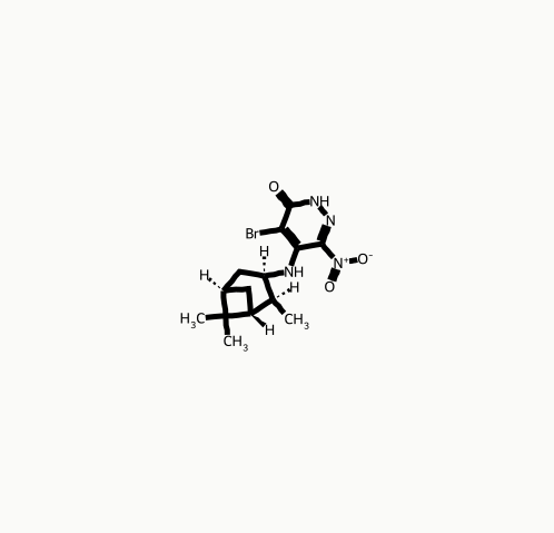 C[C@H]1[C@H]2C[C@H](C[C@H]1Nc1c([N+](=O)[O-])n[nH]c(=O)c1Br)C2(C)C